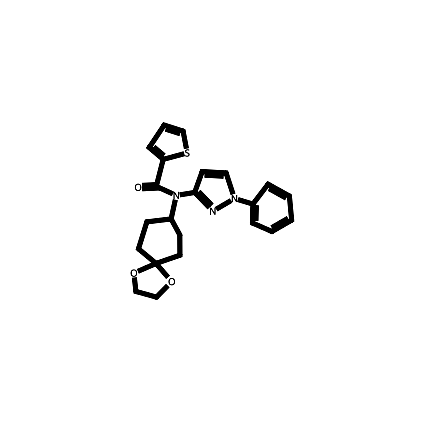 O=C(c1cccs1)N(c1ccn(-c2ccccc2)n1)C1CCC2(CC1)OCCO2